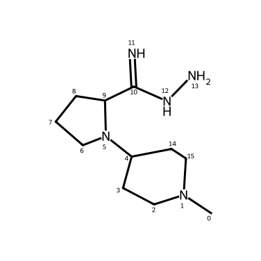 CN1CCC(N2CCCC2C(=N)NN)CC1